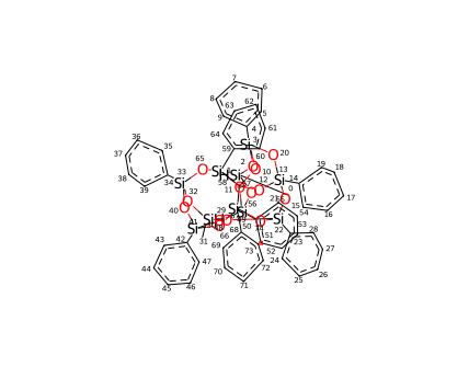 C[SiH]1O[Si]2(c3ccccc3)OC34O[Si](c5ccccc5)(O2)O[Si]2(c5ccccc5)O[SiH](C)O[Si]5(c6ccccc6)O[Si](c6ccccc6)(O[Si](c6ccccc6)(O1)O[Si]3(c1ccccc1)O5)O[Si]4(c1ccccc1)O2